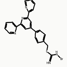 N=C(NBr)SCc1ccc(-c2cc(-c3ccccn3)nc(-c3ccccn3)c2)cc1